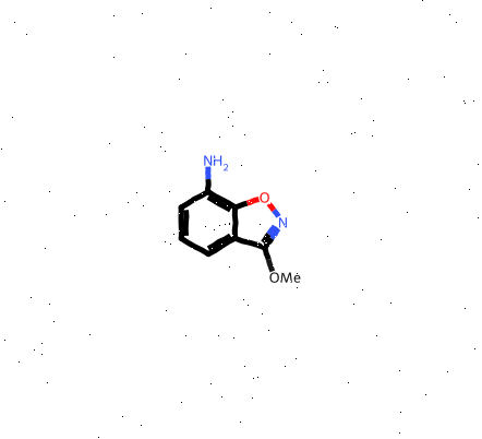 [CH2]Oc1noc2c(N)cccc12